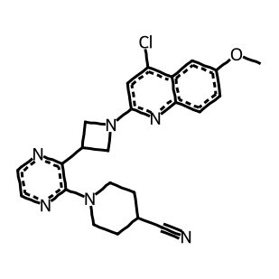 COc1ccc2nc(N3CC(c4nccnc4N4CCC(C#N)CC4)C3)cc(Cl)c2c1